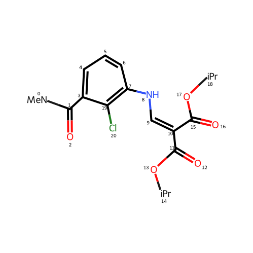 CNC(=O)c1cccc(NC=C(C(=O)OC(C)C)C(=O)OC(C)C)c1Cl